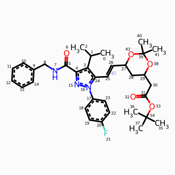 CC(C)c1c(C(=O)NCc2ccccc2)nn(-c2ccc(F)cc2)c1/C=C/C1CC(CC(=O)OC(C)(C)C)OC(C)(C)O1